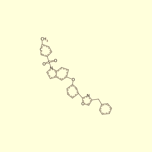 Cc1ccc(S(=O)(=O)n2ccc3cc(Oc4cccc(-c5nc(Cc6ccccc6)co5)c4)ccc32)cc1